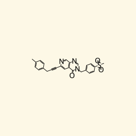 Cc1ccc(CC#Cc2cc3c(=O)n(Cc4ccc(S(C)(=O)=O)cc4)cnc3cn2)cc1